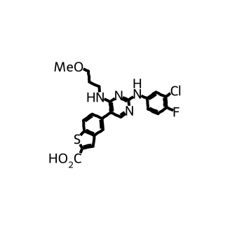 COCCCNc1nc(Nc2ccc(F)c(Cl)c2)ncc1-c1ccc2sc(C(=O)O)cc2c1